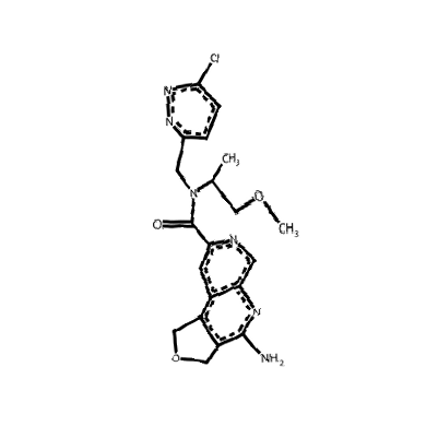 COCC(C)N(Cc1ccc(Cl)nn1)C(=O)c1cc2c3c(c(N)nc2cn1)COC3